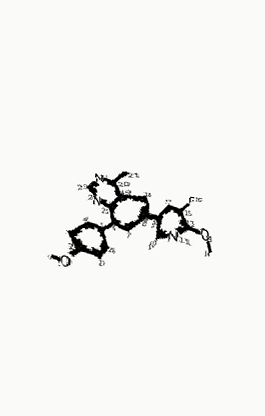 COc1ccc(-c2cc(-c3cnc(OC)c(F)c3)cc3c(C)ncnc23)cc1